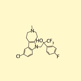 CN1CCc2c(n(CC(O)(c3ccc(F)cc3)C(F)(F)F)c3ccc(Cl)cc23)CC1